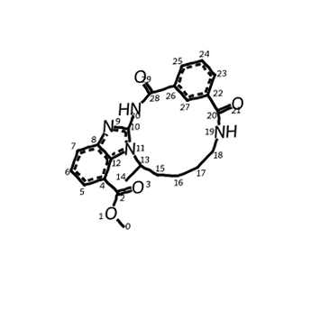 COC(=O)c1cccc2nc3n(c12)C(C)CCCCNC(=O)c1cccc(c1)C(=O)N3